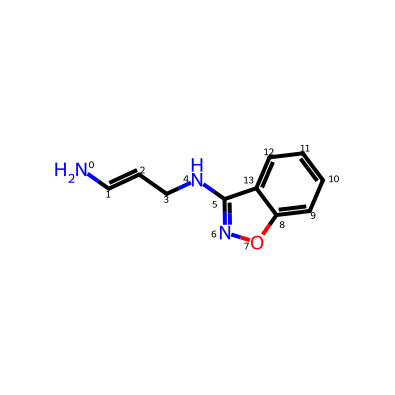 NC=CCNc1noc2ccccc12